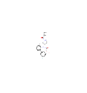 O=C(CO)N[C@H]1CCN(C(=O)C2CCC2)[C@H]1Cc1cccc(-c2cccc(F)c2)c1